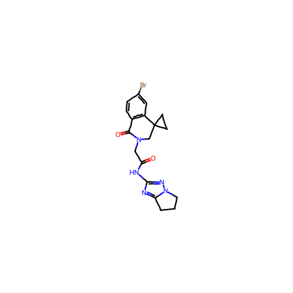 O=C(CN1CC2(CC2)c2cc(Br)ccc2C1=O)Nc1nc2n(n1)CCC2